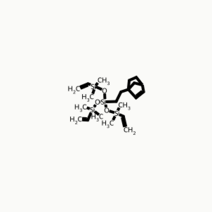 C=C[Si](C)(C)O[Si](CCC12C=CC(CC1)C2)(O[Si](C)(C)C=C)O[Si](C)(C)C=C